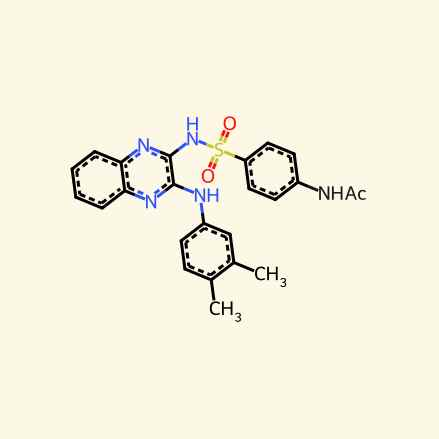 CC(=O)Nc1ccc(S(=O)(=O)Nc2nc3ccccc3nc2Nc2ccc(C)c(C)c2)cc1